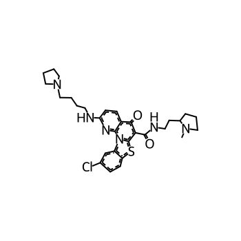 CN1CCCC1CCNC(=O)c1c(=O)c2ccc(NCCCCN3CCCC3)nc2n2c1sc1ccc(Cl)cc12